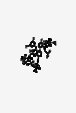 CC(C)(C#Cc1ccc(-c2ccc(F)c3c(NS(=O)(=O)C4CC4)nn(CC(F)F)c23)c([C@H](Cc2cc(F)cc(F)c2)NC(=O)Cn2nc(C(F)(F)F)c3c2C(F)(F)[C@@H]2CC[C@H]32)n1)S(=O)(=O)C1CC1